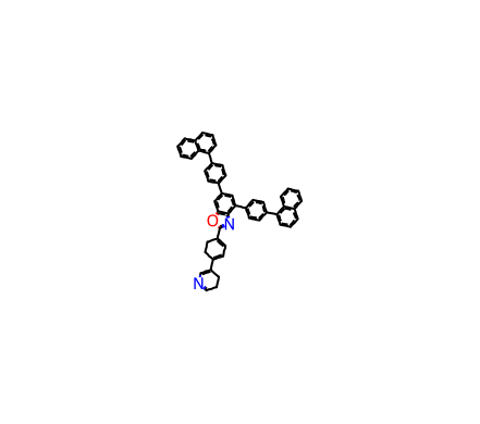 C1=NC=C(C2=CC=C(c3nc4c(-c5ccc(-c6cccc7ccccc67)cc5)cc(-c5ccc(-c6cccc7ccccc67)cc5)cc4o3)CC2)CC1